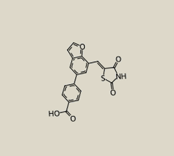 O=C1NC(=O)/C(=C/c2cc(-c3ccc(C(=O)O)cc3)cc3ccoc23)S1